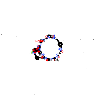 C[C@@H]1NC(=O)CCC(=O)NCc2ccc(cc2)CCNC(=O)[C@]2(C)CCCN2C(=O)CNC(=O)[C@H]([C@@H](C)O)NC(=O)[C@@H]2CCC(=O)NCc3cccc(c3)CC[C@H](NC(=O)[C@@H](CI)NC1=O)C(=O)N[C@@H](Cc1c[nH]c3ccc(F)cc13)C(=O)N2C